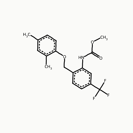 COC(=O)Nc1cc(C(F)(F)F)ccc1COc1ccc(C)cc1C